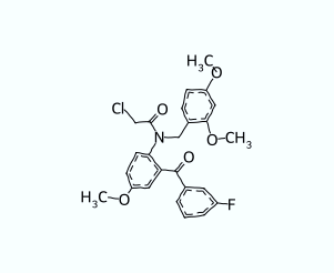 COc1ccc(CN(C(=O)CCl)c2ccc(OC)cc2C(=O)c2cccc(F)c2)c(OC)c1